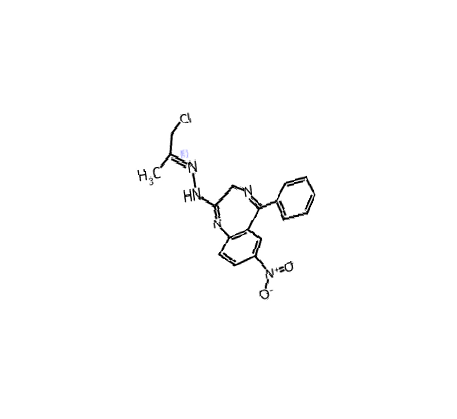 C/C(CCl)=N\NC1=Nc2ccc([N+](=O)[O-])cc2C(c2ccccc2)=NC1